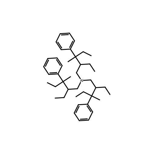 CCC([CH2][Al]([CH2]C(CC)C(C)(CC)c1ccccc1)[CH2]C(CC)C(C)(CC)c1ccccc1)C(C)(CC)c1ccccc1